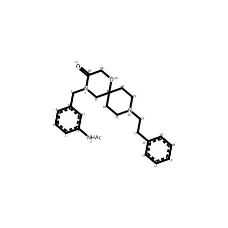 CC(=O)Nc1cccc(CN2CC3(CCN(CCc4ccccc4)CC3)OCC2=O)c1